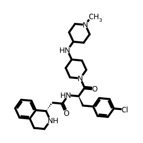 CN1CCC(NC2CCN(C(=O)[C@@H](Cc3ccc(Cl)cc3)NC(=O)C[C@@H]3NCCc4ccccc43)CC2)CC1